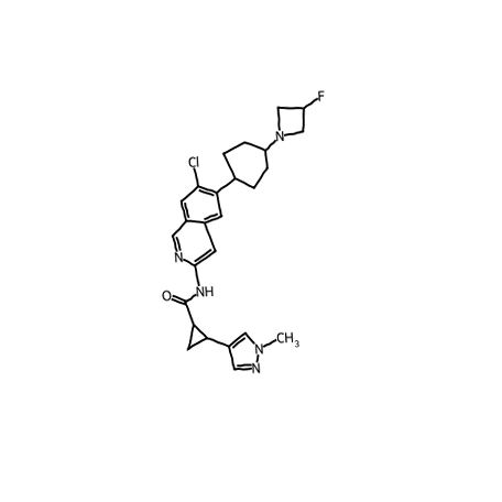 Cn1cc(C2CC2C(=O)Nc2cc3cc(C4CCC(N5CC(F)C5)CC4)c(Cl)cc3cn2)cn1